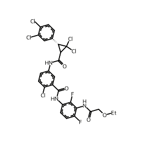 CCOCC(=O)Nc1c(F)ccc(NC(=O)c2cc(NC(=O)C3[C@H](c4ccc(Cl)c(Cl)c4)C3(Cl)Cl)ccc2Cl)c1F